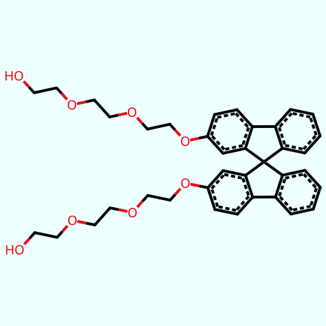 OCCOCCOCCOc1ccc2c(c1)C1(c3ccccc3-2)c2ccccc2-c2ccc(OCCOCCOCCO)cc21